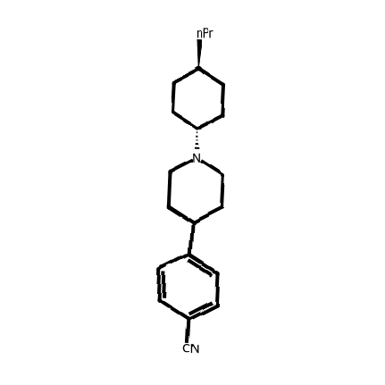 CCC[C@H]1CC[C@H](N2CCC(c3ccc(C#N)cc3)CC2)CC1